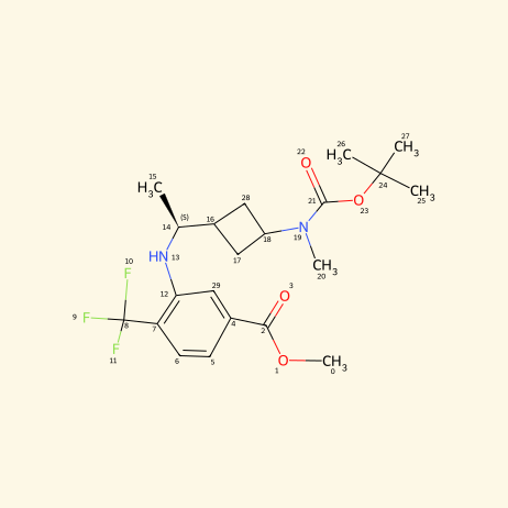 COC(=O)c1ccc(C(F)(F)F)c(N[C@@H](C)C2CC(N(C)C(=O)OC(C)(C)C)C2)c1